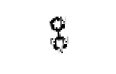 c1cncc(-c2ncncn2)c1